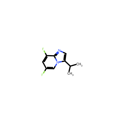 CC(C)c1cnc2c(F)cc(F)cn12